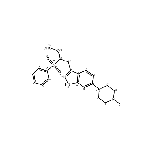 CN1CCN(c2ccc3c(CC(OC=O)S(=O)(=O)c4ccccc4)n[nH]c3c2)CC1